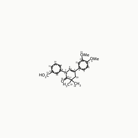 COc1ccc(C2=NN(c3cccc(C(=O)O)c3)C(=O)C(C)(C)C2)cc1OC